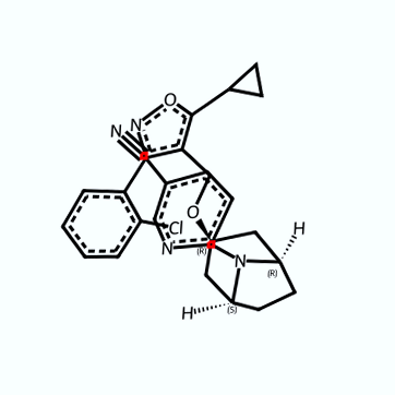 N#Cc1ccc(N2[C@@H]3CC[C@H]2C[C@@H](OCc2c(-c4ccccc4Cl)noc2C2CC2)C3)nc1